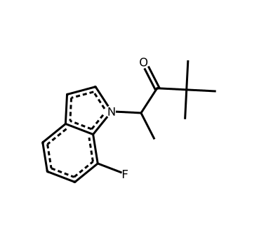 CC(C(=O)C(C)(C)C)n1ccc2cccc(F)c21